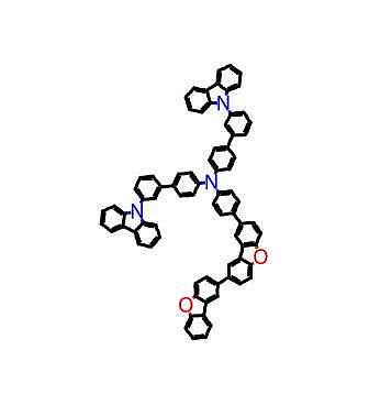 c1cc(-c2ccc(N(c3ccc(-c4cccc(-n5c6ccccc6c6ccccc65)c4)cc3)c3ccc(-c4ccc5oc6ccc(-c7ccc8oc9ccccc9c8c7)cc6c5c4)cc3)cc2)cc(-n2c3ccccc3c3ccccc32)c1